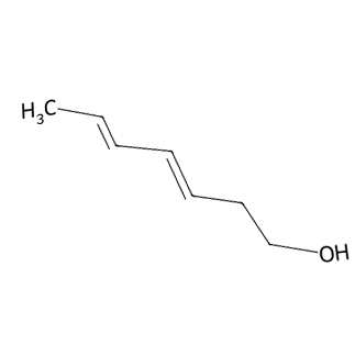 CC=CC=CCCO